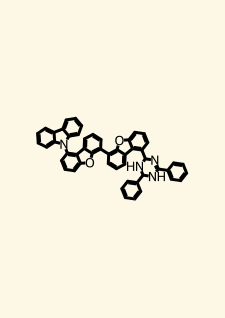 c1ccc(C2=NC(c3cccc4oc5c(-c6cccc7c6oc6cccc(-n8c9ccccc9c9ccccc98)c67)cccc5c34)NC(c3ccccc3)N2)cc1